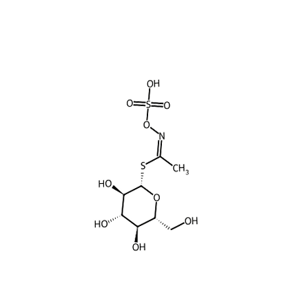 C/C(=N/OS(=O)(=O)O)S[C@@H]1O[C@H](CO)[C@@H](O)[C@H](O)[C@H]1O